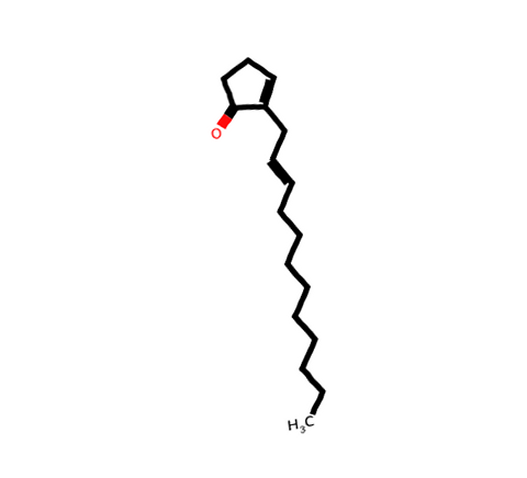 CCCCCCCCCC=CCC1=CCCC1=O